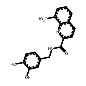 O=C(NCc1ccc(O)c(O)c1)c1ccc2cccc(C(=O)O)c2n1